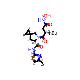 CCCC[C@H](CC(=O)NO)C(=O)N1CC2(CC2)C[C@H]1C(=O)Nc1nc(C)cs1